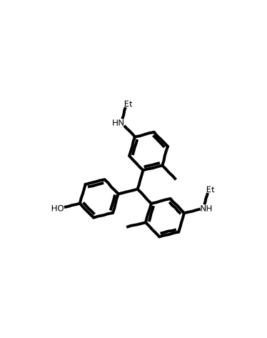 CCNc1ccc(C)c(C(c2ccc(O)cc2)c2cc(NCC)ccc2C)c1